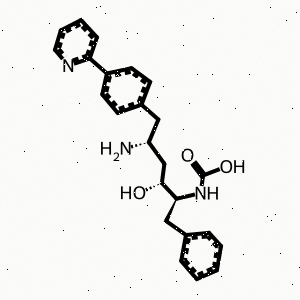 N[C@H](Cc1ccc(-c2ccccn2)cc1)C[C@@H](O)[C@H](Cc1ccccc1)NC(=O)O